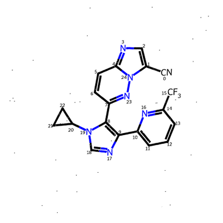 N#Cc1cnc2ccc(-c3c(-c4cccc(C(F)(F)F)n4)ncn3C3CC3)nn12